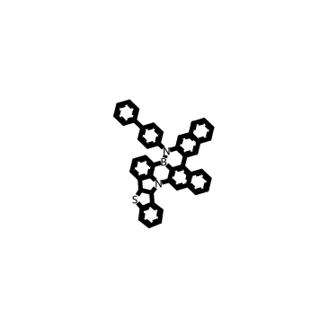 c1ccc(-c2ccc(N3B4c5cccc6c5N(c5cc7ccccc7c(c54)-c4cc5ccccc5cc43)C3c4ccccc4SC63)cc2)cc1